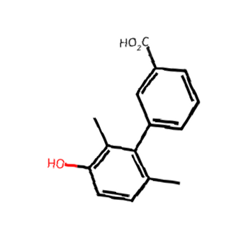 Cc1ccc(O)c(C)c1-c1cccc(C(=O)O)c1